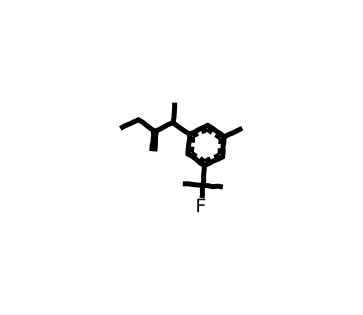 C=C(CC)C(C)c1cc(C)cc(C(C)(C)F)c1